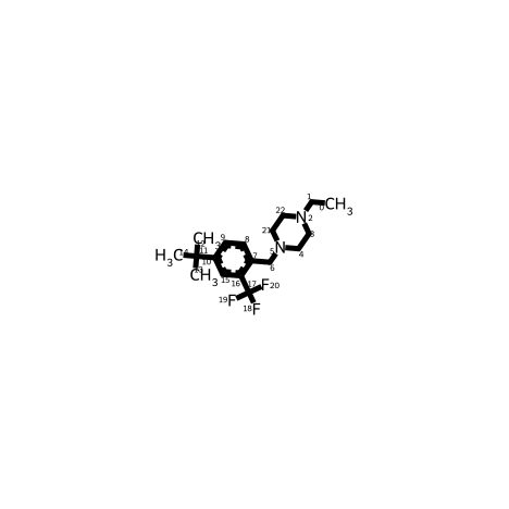 CCN1CCN(Cc2ccc(C(C)(C)C)cc2C(F)(F)F)CC1